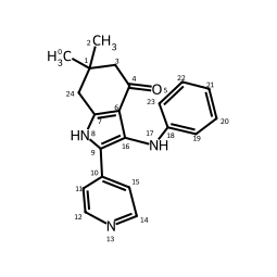 CC1(C)CC(=O)c2c([nH]c(-c3ccncc3)c2Nc2ccccc2)C1